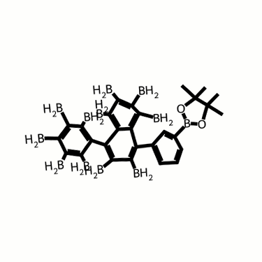 Bc1c(B)c(B)c(-c2c(B)c(B)c(-c3cccc(B4OC(C)(C)C(C)(C)O4)c3)c3c(B)c(B)c(B)c(B)c23)c(B)c1B